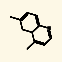 CC1=CC=C2N=CC=C(C)C2C1